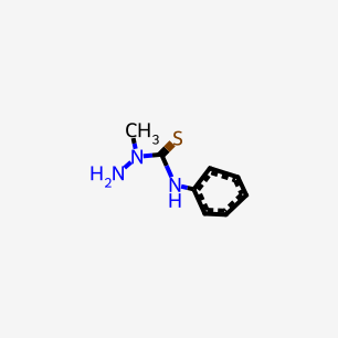 CN(N)C(=S)Nc1ccccc1